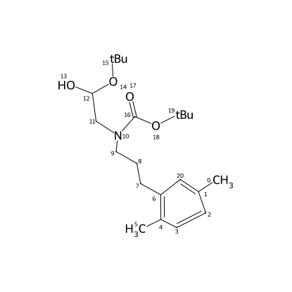 Cc1ccc(C)c(CCCN(CC(O)OC(C)(C)C)C(=O)OC(C)(C)C)c1